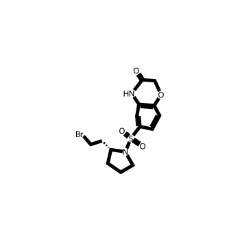 O=C1COc2ccc(S(=O)(=O)N3CCC[C@@H]3CCBr)cc2N1